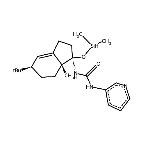 C[SiH](C)O[C@]1(NC(=O)Nc2cccnc2)CCC2=C[C@H](C(C)(C)C)CC[C@]21C